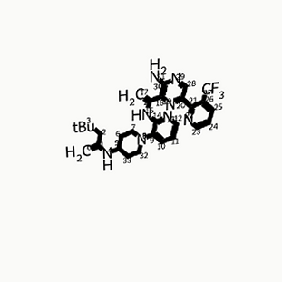 C=C(CC(C)(C)C)NC1CCN(c2cccnc2NC(=C)c2nc(-c3ncccc3C(F)(F)F)cnc2N)CC1